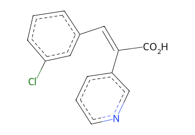 O=C(O)/C(=C/c1cccc(Cl)c1)c1cccnc1